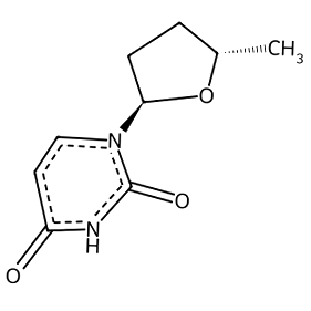 C[C@H]1CC[C@H](n2ccc(=O)[nH]c2=O)O1